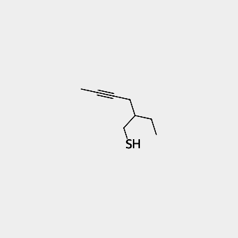 CC#CCC(CC)CS